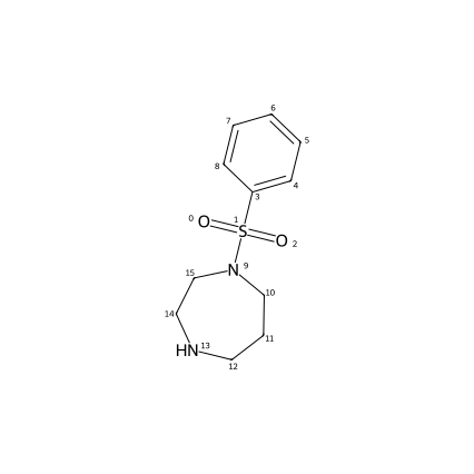 O=S(=O)(c1ccccc1)N1CCCNCC1